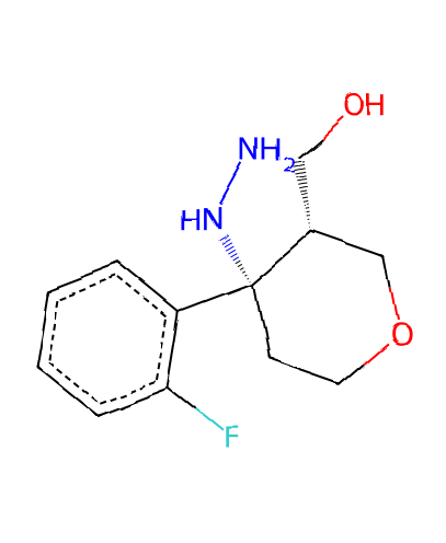 NN[C@@]1(c2ccccc2F)CCOC[C@H]1CO